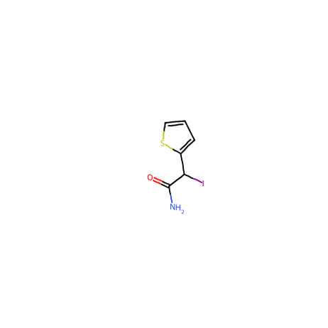 NC(=O)C(I)c1cccs1